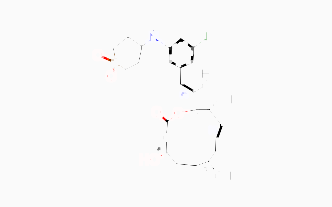 C/C(=C\c1cc(F)cc(N(C)C2CCS(=O)(=O)CC2)c1)[C@H]1OC(=O)C[C@H](O)CC[C@H](C)C/C=C/[C@@H]1C